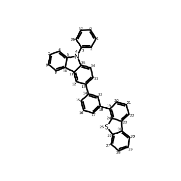 c1ccc(-n2c3ccccc3c3cc(-c4cccc(-c5cccc6c5sc5ccccc56)c4)ccc32)cc1